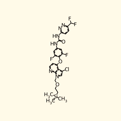 C[Si](C)(C)CCOCn1cc(Cl)c2c(Oc3c(F)cc(NC(=O)Nc4ccc(C(F)F)nn4)cc3F)ccnc21